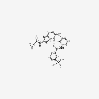 O=C(Nc1cncc(Oc2ccc3nc(NC(=O)C4CC4)cn3n2)c1)c1cccc(C(F)(F)F)c1